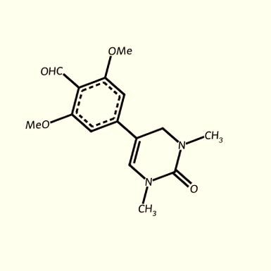 COc1cc(C2=CN(C)C(=O)N(C)C2)cc(OC)c1C=O